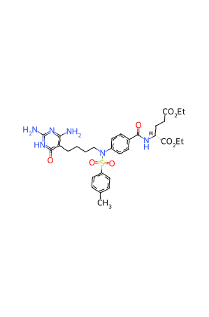 CCOC(=O)CC[C@@H](NC(=O)c1ccc(N(CCCCc2c(N)nc(N)[nH]c2=O)S(=O)(=O)c2ccc(C)cc2)cc1)C(=O)OCC